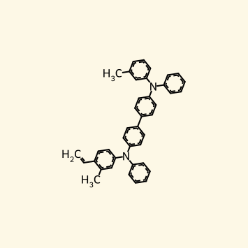 C=Cc1ccc(N(c2ccccc2)c2ccc(-c3ccc(N(c4ccccc4)c4cccc(C)c4)cc3)cc2)cc1C